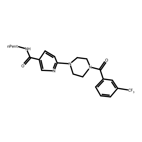 CCCCCNC(=O)c1ccc(N2CCN(C(=O)c3cccc(C(F)(F)F)c3)CC2)nc1